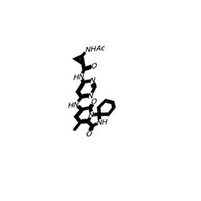 CC(=O)NC1CC1C(=O)Nc1cc(Nc2cc(C)c3n(c2=O)C2(CCCCC2)NC3=O)ncn1